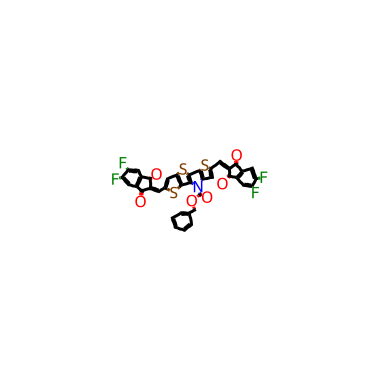 O=C1C(=Cc2cc3c(s2)c2sc4cc(C=C5C(=O)c6cc(F)c(F)cc6C5=O)sc4c2n3C(=O)OCc2ccccc2)C(=O)c2cc(F)c(F)cc21